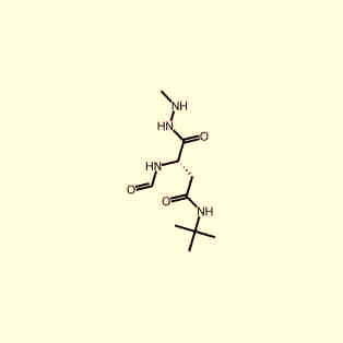 CNNC(=O)[C@H](CC(=O)NC(C)(C)C)NC=O